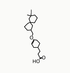 CC1(I)CCCC2(CCCC(COC3=CCC(CCC(=O)O)CC3)C2)C1